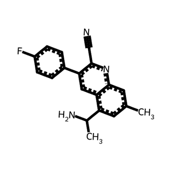 Cc1cc(C(C)N)c2cc(-c3ccc(F)cc3)c(C#N)nc2c1